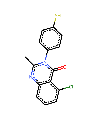 Cc1nc2cccc(Cl)c2c(=O)n1-c1ccc(S)cc1